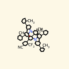 Cc1ccccc1-c1ccc2c(c1)c1cc(-c3ccccc3C)ccc1n2-c1cc(C#N)ccc1-c1ccc(-c2ccc(C#N)cc2C(F)(F)F)cc1-n1c2ccc(-c3ccccc3C)cc2c2cc(-c3ccccc3C)ccc21